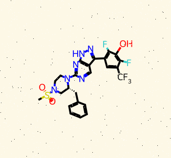 CS(=O)(=O)N1CCN(c2ncc3c(-c4cc(C(F)(F)F)c(F)c(O)c4F)n[nH]c3n2)[C@H](Cc2ccccc2)C1